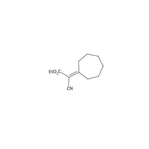 CCOC(=O)C(C#N)=C1CCCCCC1